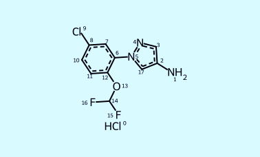 Cl.Nc1cnn(-c2cc(Cl)ccc2OC(F)F)c1